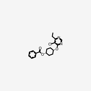 CCc1ncnc(O[C@H]2CC[C@@H](OC(=O)c3ccccc3)CC2)c1Cl